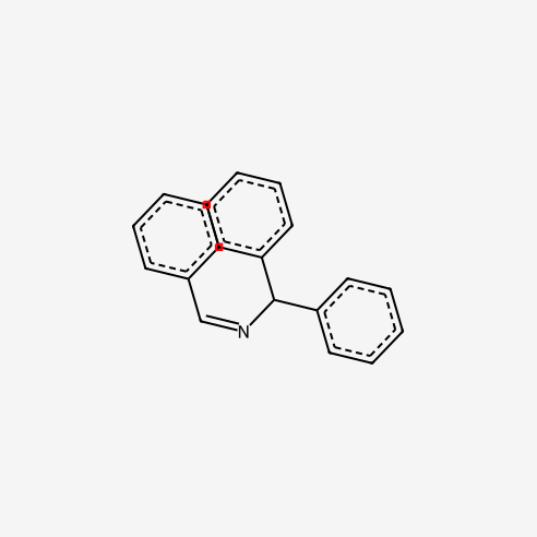 C(=N/C(c1ccccc1)c1ccccc1)/c1ccccc1